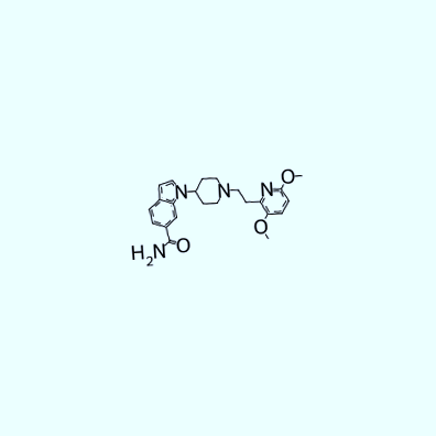 COc1ccc(OC)c(CCN2CCC(n3ccc4ccc(C(N)=O)cc43)CC2)n1